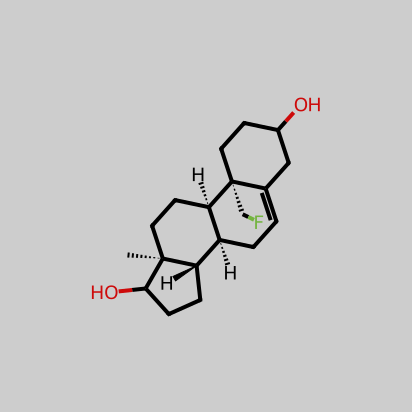 C[C@]12CC[C@@H]3[C@@H](CC=C4CC(O)CC[C@@]43CF)[C@@H]1CCC2O